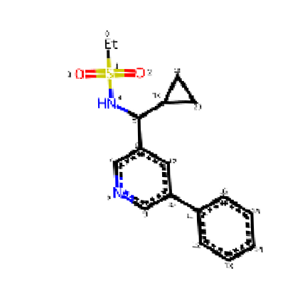 CCS(=O)(=O)NC(c1cncc(-c2ccccc2)c1)C1CC1